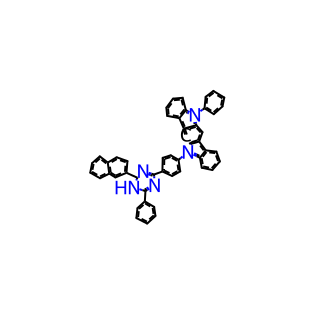 c1ccc(C2=NC(c3ccc(-n4c5ccccc5c5cc6c(cc54)c4ccccc4n6-c4ccccc4)cc3)=NC(c3ccc4ccccc4c3)N2)cc1